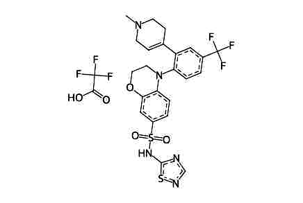 CN1CC=C(c2cc(C(F)(F)F)ccc2N2CCOc3cc(S(=O)(=O)Nc4ncns4)ccc32)CC1.O=C(O)C(F)(F)F